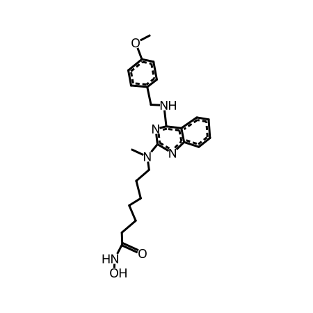 COc1ccc(CNc2nc(N(C)CCCCCCC(=O)NO)nc3ccccc23)cc1